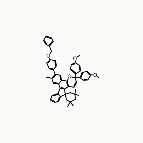 COc1ccc(C2(c3ccc(OC)cc3)C=Cc3c4c(c5cc(C)c(-c6ccc(OCc7ccccc7)cc6)cc5c3O2)-c2ccccc2C42CC(C)(C)CC(C)(C)C2)cc1